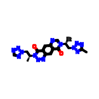 CC[C@H](Cn1nnc(C)n1)n1cnc2cc3c(=O)n([C@H](C)Cn4ncnn4)nnc3cc2c1=O